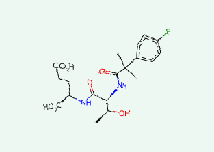 C[C@H](O)[C@H](NC(=O)C(C)(C)c1ccc(F)cc1)C(=O)N[C@H](CCC(=O)O)C(=O)O